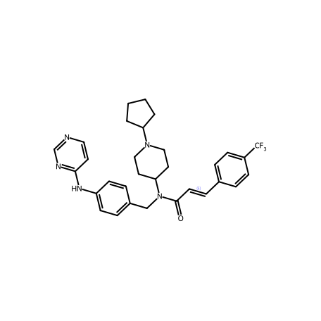 O=C(/C=C/c1ccc(C(F)(F)F)cc1)N(Cc1ccc(Nc2ccncn2)cc1)C1CCN(C2CCCC2)CC1